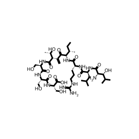 C=C(C(=O)[C@@H](NC(=O)[C@@H](CCCNC(=N)N)NC(=O)[C@H](CC(C)C)NC(=O)[C@@H](N)[C@H](O)C(C)C)[C@@H](C)CC)[C@H](C(=O)N[C@H](CO)C(=O)N[C@@H](CO)C(=O)N[C@@H](CO)C(=O)O)[C@H](C)O